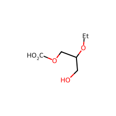 CCOC(CO)COC(=O)O